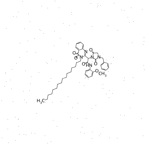 CCCCCCCCCCCCCCCCN1C(C(C(=O)Nc2ccccc2OC)N2C(=O)CN(Cc3ccccc3)C2=O)=Nc2ccccc2S1(=O)=O